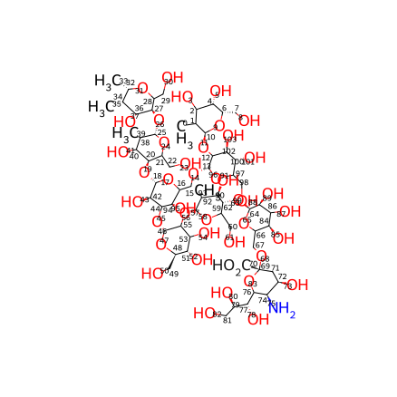 CC1C(O)[C@H](O)[C@H](CO)O[C@H]1OC1[C@@H](OCC2O[C@@H](O[C@@H]3C(CO)O[C@@H](O[C@@H]4C(CO)O[C@@H](C)[C@@H](C)C4O)[C@@H](C)C3O)[C@H](O)C(O[C@H]3O[C@H](CO)[C@@H](O)C(O)C3O[C@@H]3OC(CO)[C@@H](O[C@@H]4OC(CO[C@]5(C(=O)O)C[C@@H](O)[C@@H](N)C([C@H](O)[C@H](O)CO)O5)[C@H](O)C(O)[C@@H]4O)[C@H](O)C3C)[C@@H]2O)OC(CO)[C@@H](O)[C@@H]1O